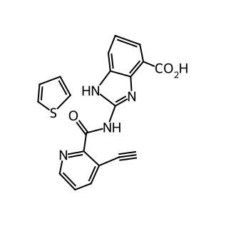 C#Cc1cccnc1C(=O)Nc1nc2c(C(=O)O)cccc2[nH]1.c1ccsc1